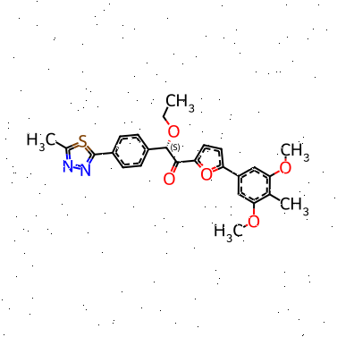 CCO[C@H](C(=O)c1ccc(-c2cc(OC)c(C)c(OC)c2)o1)c1ccc(-c2nnc(C)s2)cc1